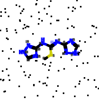 CS/C(=N\c1nc[nH]n1)Nc1nc[nH]n1